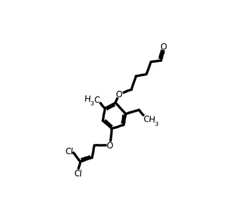 CCc1cc(OCC=C(Cl)Cl)cc(C)c1OCCCCC=O